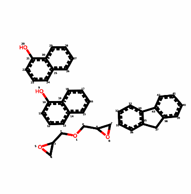 C(OCC1CO1)C1CO1.Oc1cccc2ccccc12.Oc1cccc2ccccc12.c1ccc2c(c1)Cc1ccccc1-2